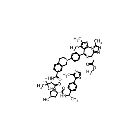 COC(=O)C[C@@H]1N=C(c2ccc(N3CCc4ccc(C(=O)N[C@H](C(=O)N5C[C@H](O)C[C@H]5C(=O)N[C@@H](C)c5ccc(-c6scnc6C)cc5)C(C)(C)C)cc4C3)cc2)c2c(sc(C)c2C)-n2c(C)nnc21